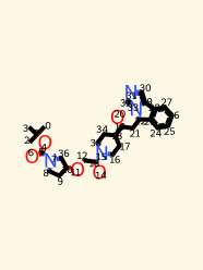 CC(C)(C)OC(=O)N1CCC(OCC(=O)N2CCC(C(=O)CC3c4ccccc4-c4cncn43)CC2)C1